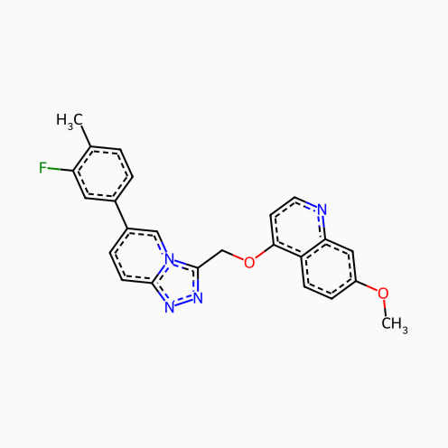 COc1ccc2c(OCc3nnc4ccc(-c5ccc(C)c(F)c5)cn34)ccnc2c1